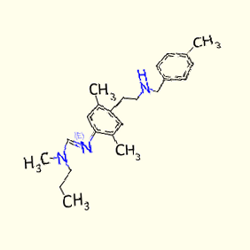 CCCN(C)/C=N/c1cc(C)c(CCNCc2ccc(C)cc2)cc1C